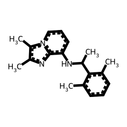 Cc1cccc(C)c1C(C)Nc1cccn2c(C)c(C)nc12